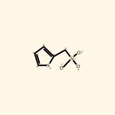 Cl[Si](Cl)(Cl)Cc1cccs1